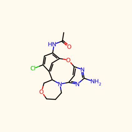 CC(=O)Nc1cc(Cl)c2cc1Oc1cc(nc(N)n1)N1CCCOCC21